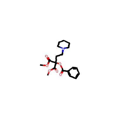 COC(=O)C(CCN1CCCCC1)(OC(=O)c1ccccc1)C(=O)OC